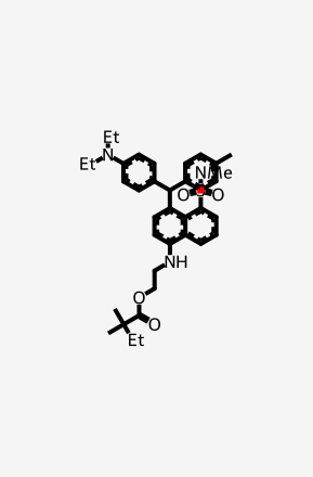 CCN(CC)c1ccc(C(c2ccc(C)cc2)c2ccc(NCCOC(=O)C(C)(C)CC)c3cccc(S(=O)(=O)NC)c23)cc1